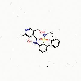 Cc1ncc(CO)c(CNc2cccc(-c3ccccc3)c2S(=O)(=O)NC(C)(C)C)c1O